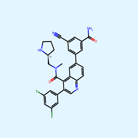 CN(C[C@@H]1CCCN1)C(=O)c1c(-c2cc(F)cc(F)c2)cnc2ccc(-c3cc(C#N)cc(C(N)=O)c3)cc12